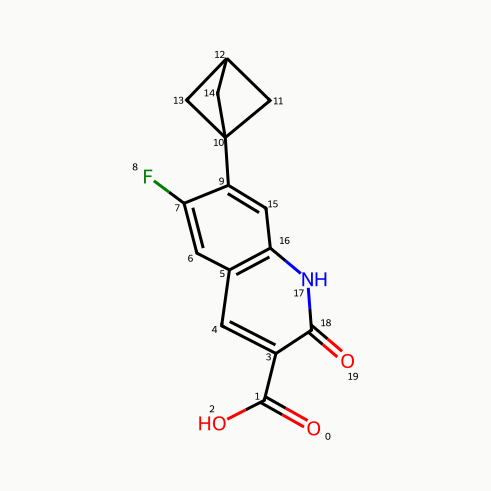 O=C(O)c1cc2cc(F)c(C34CC(C3)C4)cc2[nH]c1=O